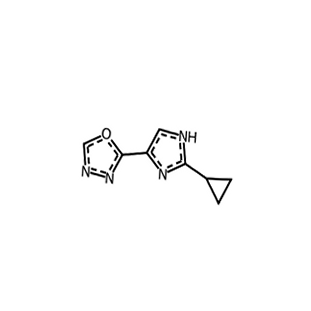 c1nnc(-c2c[nH]c(C3CC3)n2)o1